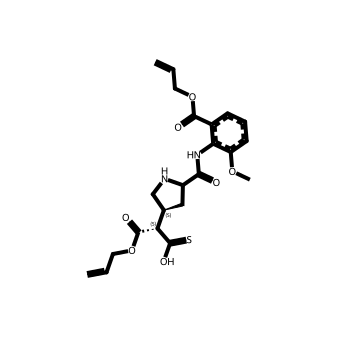 C=CCOC(=O)c1cccc(OC)c1NC(=O)C1C[C@@H]([C@@H](C(=O)OCC=C)C(O)=S)CN1